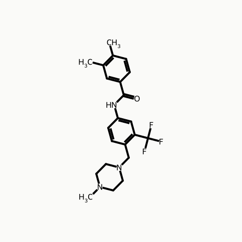 Cc1ccc(C(=O)Nc2ccc(CN3CCN(C)CC3)c(C(F)(F)F)c2)cc1C